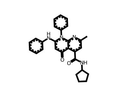 Cc1cc(C(=O)NC2CCCC2)c2c(=O)cc(Nc3ccccc3)n(-c3ccccc3)c2n1